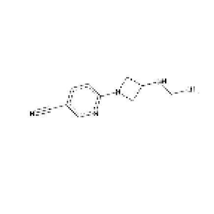 CCNC1CN(c2ccc(C#N)cn2)C1